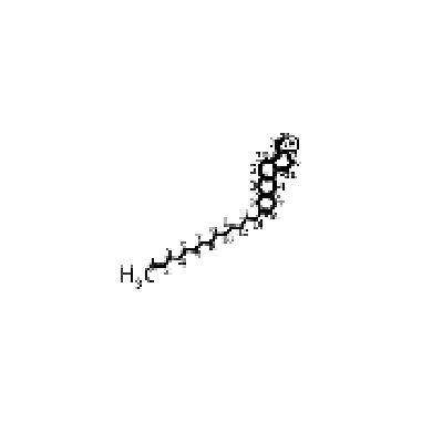 CCCCCCCCCCCCCCCc1ccc2cc3c(ccc4c5ccoc5ccc34)cc2c1